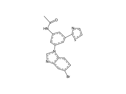 CC(=O)Nc1cc(-c2nccs2)cc(-n2cnc3cc(Br)ccc32)c1